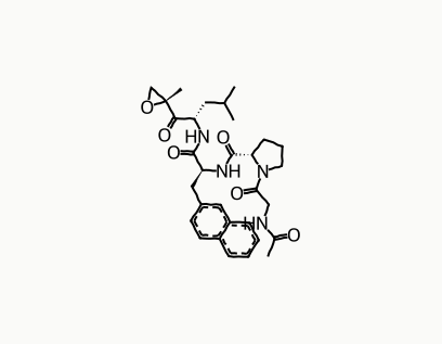 CC(=O)NCC(=O)N1CCC[C@H]1C(=O)N[C@@H](Cc1ccc2ccccc2c1)C(=O)N[C@@H](CC(C)C)C(=O)[C@@]1(C)CO1